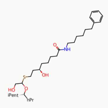 CCCC(OC(CO)SCC[C@H](O)CCCCC(=O)NCCCCCCc1ccccc1)[C@@H](C)CCC